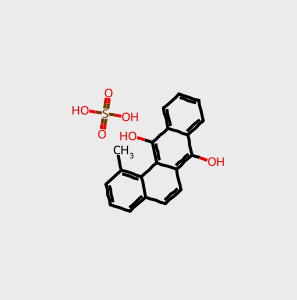 Cc1cccc2ccc3c(O)c4ccccc4c(O)c3c12.O=S(=O)(O)O